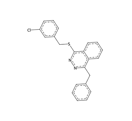 Clc1cccc(CSc2nnc(Cc3ccccc3)c3ccccc23)c1